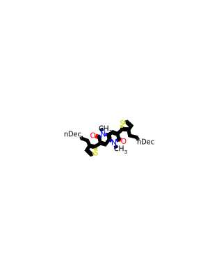 CCCCCCCCCCCCc1ccsc1-c1cc2c(cc(-c3sccc3CCCCCCCCCCCC)c(=O)n2C)n(C)c1=O